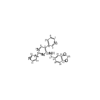 c1cncc(-c2cnc(-n3ccnc3)nc2NCc2ccc3c(c2)OCO3)c1